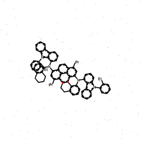 CCc1ccccc1-n1c2ccccc2c2c(N(c3cccc4c3CCCC4)c3cc(C(C)C)c4ccc5c(N(c6cccc7c6CCCC7)c6cccc7c8ccccc8n(-c8ccccc8CC)c67)cc(C(C)C)c6ccc3c4c65)cccc21